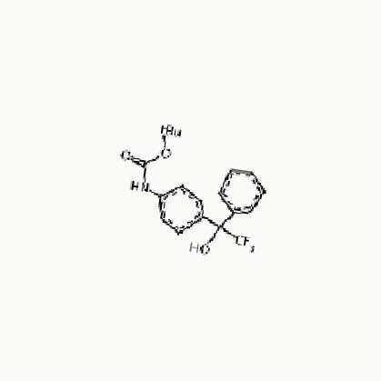 CC(C)(C)OC(=O)Nc1ccc(C(O)(c2ccccc2)C(F)(F)F)cc1